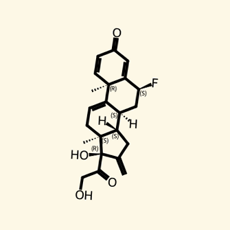 C=C1C[C@H]2[C@@H]3C[C@H](F)C4=CC(=O)C=C[C@]4(C)C3=CC[C@]2(C)[C@@]1(O)C(=O)CO